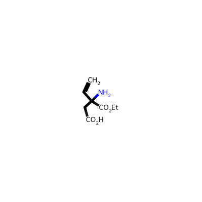 C=CC(N)(CC(=O)O)C(=O)OCC